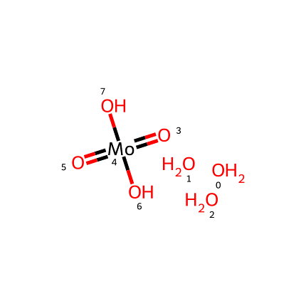 O.O.O.[O]=[Mo](=[O])([OH])[OH]